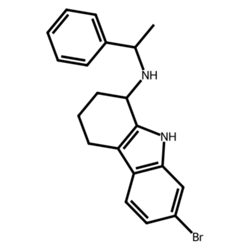 CC(NC1CCCc2c1[nH]c1cc(Br)ccc21)c1ccccc1